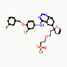 CCS(=O)(=O)CCOCCC1(c2ccc3ncnc(Nc4ccc(OCc5cccc(F)c5)c(Cl)c4)c3c2)CC=CO1